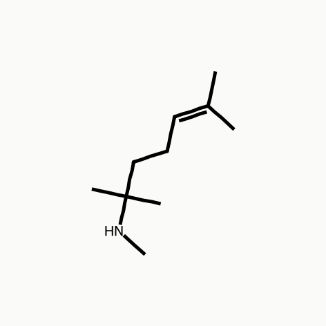 CNC(C)(C)CCC=C(C)C